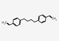 C=Cc1ccc(CCCCc2ccc(C=C)cc2)cc1